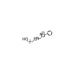 CC(C)(CO)CCCNCc1cc(-c2ccccc2)on1